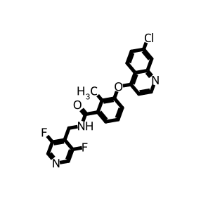 Cc1c(Oc2ccnc3cc(Cl)ccc23)cccc1C(=O)NCc1c(F)cncc1F